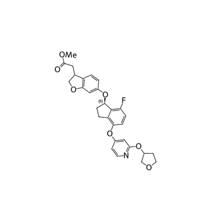 COC(=O)CC1COc2cc(O[C@@H]3CCc4c(Oc5ccnc(OC6CCOC6)c5)ccc(F)c43)ccc21